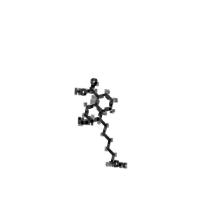 CCCCCCCCCCCCCCCc1cccc2c(S(=O)O)cccc12.[NaH]